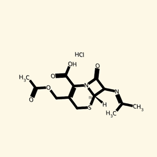 CC(=O)OCC1=C(C(=O)O)N2C(=O)C(N=C(C)C)[C@@H]2SC1.Cl